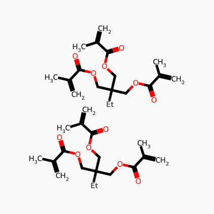 C=C(C)C(=O)OCC(CC)(COC(=O)C(=C)C)COC(=O)C(=C)C.C=C(C)C(=O)OCC(CC)(COC(=O)C(=C)C)COC(=O)C(=C)C